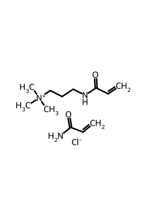 C=CC(=O)NCCC[N+](C)(C)C.C=CC(N)=O.[Cl-]